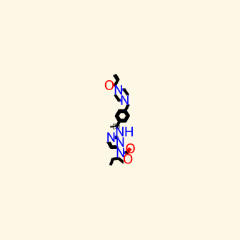 C=CC(=O)N1CCN(Cc2ccc([C@H](C)Nc3nccc(N4C(=O)OCC4CC)n3)cc2)CC1